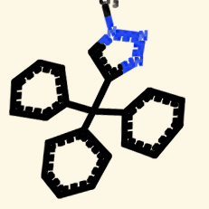 FC(F)(F)n1cc(C(c2ccccc2)(c2ccccc2)c2ccccc2)nn1